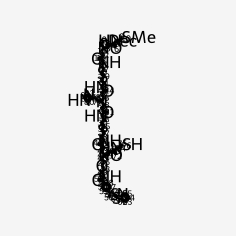 CCCCCCCCCCCN(CCC(=O)NCCSC)CCC(=O)NCCSSCCNC(=O)CCN(CCC(=O)NCCSSCCNC(=O)CCN(CCOCCNC(=O)c1ccc(C(C)SSc2ccccn2)cc1)CCC(=O)NCCS)CCc1c[nH]cn1